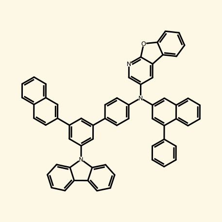 c1ccc(-c2cc(N(c3ccc(-c4cc(-c5ccc6ccccc6c5)cc(-n5c6ccccc6c6ccccc65)c4)cc3)c3cnc4oc5ccccc5c4c3)cc3ccccc23)cc1